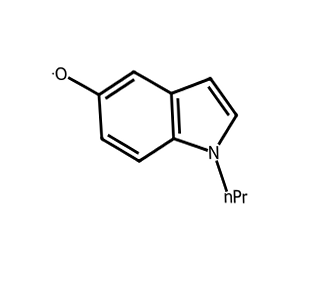 CCCn1ccc2cc([O])ccc21